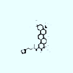 COC(=O)[C@]12CCC(C)(C)CC1C1=CCC3[C@@]4(C)CC(C(=O)NCCc5cccs5)C(=O)C(C)(C)C4CC[C@@]3(C)[C@]1(C)CC2